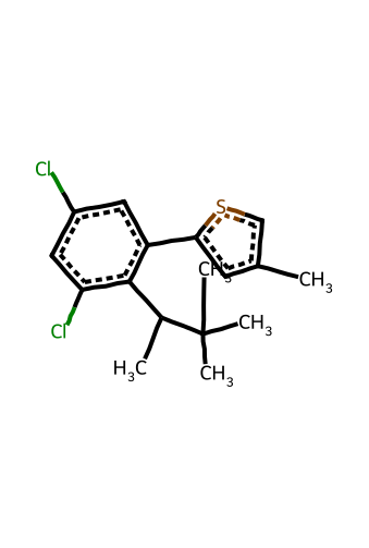 Cc1csc(-c2cc(Cl)cc(Cl)c2C(C)C(C)(C)C)c1